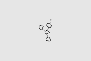 Fc1ccc(-c2sc(-c3ccccc3)cc2-c2ccccc2)cc1